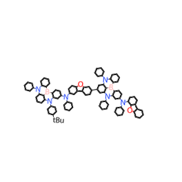 CC(C)(C)c1ccc(N2c3cc(N(c4ccccc4)c4ccc5oc6cc(-c7cc8c9c(c7)N(c7ccccc7)c7cc(N(c%10ccccc%10)c%10cccc%11c%10oc%10ccccc%10%11)ccc7B9c7ccccc7N8c7ccccc7)ccc6c5c4)ccc3B3c4ccccc4N(c4ccccc4)c4cccc2c43)cc1